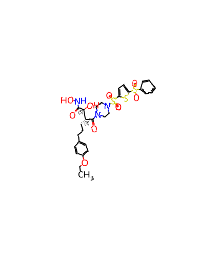 CCOc1ccc(CCC[C@@H](C(=O)N2CCN(S(=O)(=O)c3ccc(S(=O)(=O)c4ccccc4)s3)CC2)[C@H](O)C(=O)NO)cc1